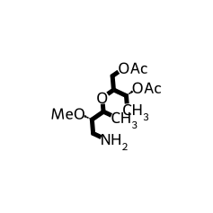 CO[C@@H](CN)C(C)OC(COC(C)=O)[C@@H](C)OC(C)=O